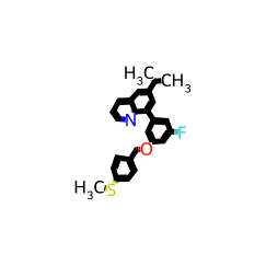 CSc1ccc(COc2cc(F)cc(-c3cc(C(C)C)cc4cccnc34)c2)cc1